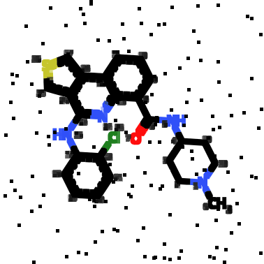 CN1CCC(NC(=O)c2cccc3c2nc(Nc2ccccc2Cl)c2cscc23)CC1